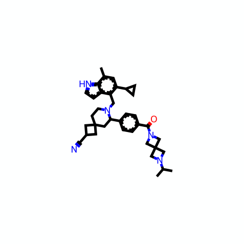 Cc1cc(C2CC2)c(CN2CCC3(CC(C#N)C3)CC2c2ccc(C(=O)N3CC4(C3)CN(C(C)C)C4)cc2)c2cc[nH]c12